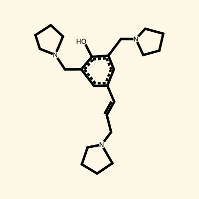 Oc1c(CN2CCCC2)cc(C=CCN2CCCC2)cc1CN1CCCC1